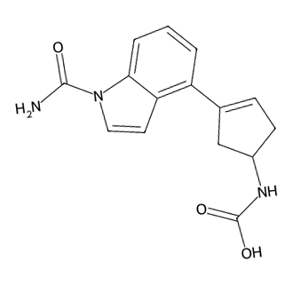 NC(=O)n1ccc2c(C3=CCC(NC(=O)O)C3)cccc21